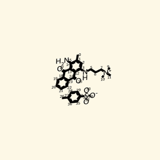 Cc1cc(NCCC[N+](C)(C)C)c2c(c1N)C(=O)c1ccccc1C2=O.Cc1ccc(S(=O)(=O)[O-])cc1